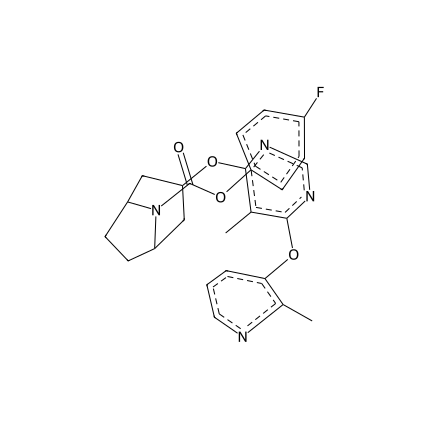 Cc1ncccc1Oc1ncnc(OC2CC3CCC(C2)N3C(=O)Oc2ccc(F)cc2)c1C